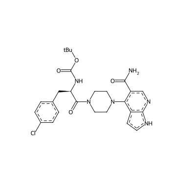 CC(C)(C)OC(=O)N[C@H](Cc1ccc(Cl)cc1)C(=O)N1CCN(c2c(C(N)=O)cnc3[nH]ccc23)CC1